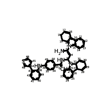 C=C(NC(/C=C(\N)n1c2c(c3ccccc31)C=CCC2)N1c2ccccc2C2C=CC=CC21)c1ccc(Nc2ccccc2-c2ccsc2)cc1